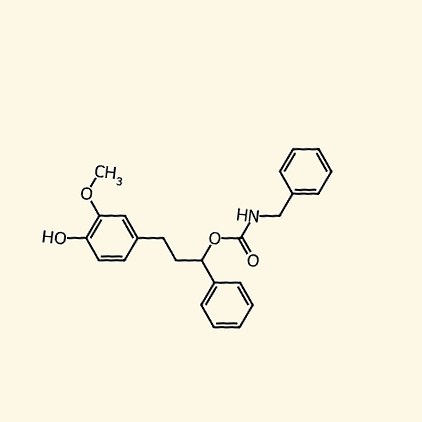 COc1cc(CCC(OC(=O)NCc2ccccc2)c2ccccc2)ccc1O